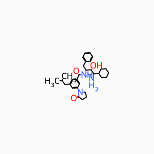 CC(C)Cc1cc(C(=O)NC(Cc2ccccc2)C(O)C(N)C2CCCCC2)cc(N2CCCC2=O)c1